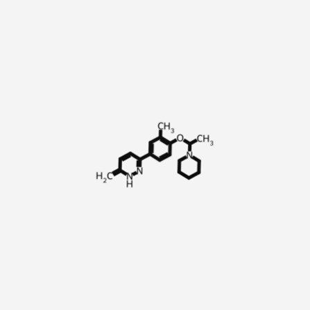 C=C1C=CC(c2ccc(OC(C)N3CCCCC3)c(C)c2)=NN1